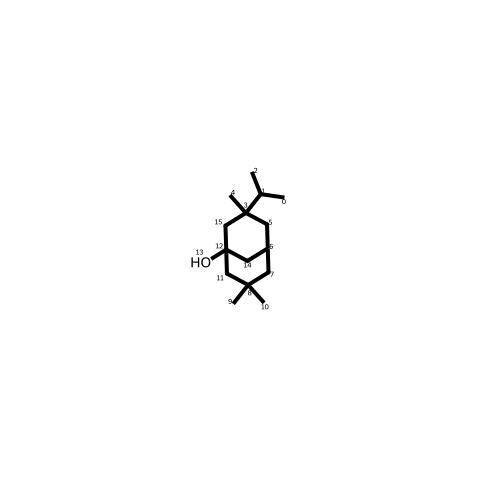 CC(C)C1(C)CC2CC(C)(C)CC(O)(C2)C1